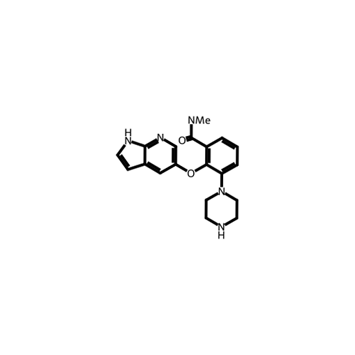 CNC(=O)c1cccc(N2CCNCC2)c1Oc1cnc2[nH]ccc2c1